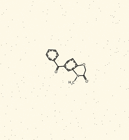 CN1C(=O)COc2ccc(C(=O)c3ccccc3)cc21